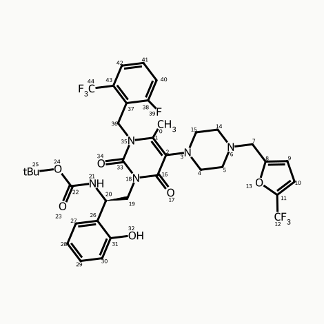 Cc1c(N2CCN(Cc3ccc(C(F)(F)F)o3)CC2)c(=O)n(C[C@H](NC(=O)OC(C)(C)C)c2ccccc2O)c(=O)n1Cc1c(F)cccc1C(F)(F)F